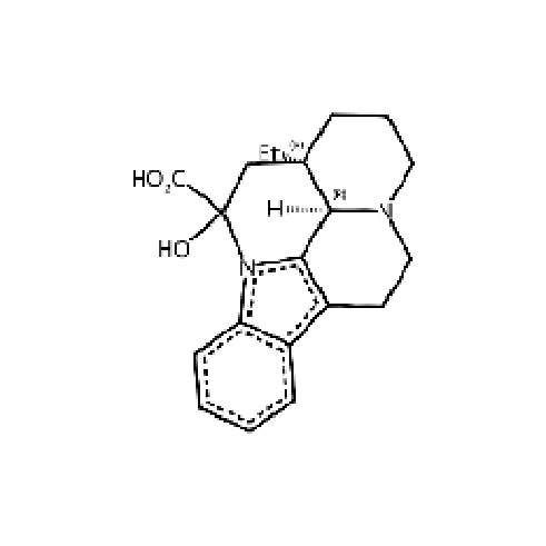 CC[C@@]12CCCN3CCc4c(n(c5ccccc45)C(O)(C(=O)O)C1)[C@H]32